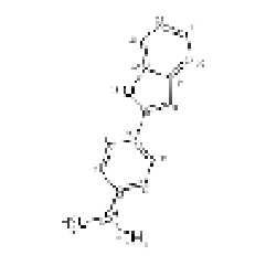 C[S+](C)c1ccc(-c2cc3ccccc3o2)cc1